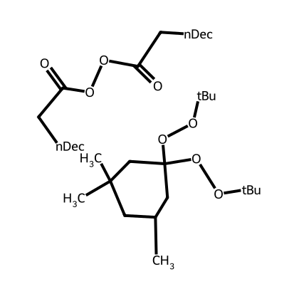 CC1CC(C)(C)CC(OOC(C)(C)C)(OOC(C)(C)C)C1.CCCCCCCCCCCC(=O)OOC(=O)CCCCCCCCCCC